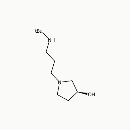 CC(C)(C)NCCCN1CC[C@H](O)C1